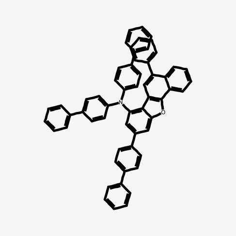 c1ccc(-c2ccc(-c3cc(N(c4ccc(-c5ccccc5)cc4)c4ccc(-c5ccccc5)cc4)c4c(c3)oc3c5ccccc5c(-c5ccccc5)cc34)cc2)cc1